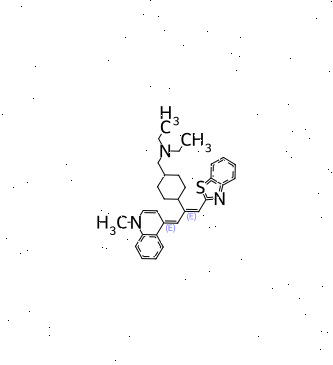 CCN(CC)CC1CCC(C(/C=C2\C=CN(C)c3ccccc32)=C\c2nc3ccccc3s2)CC1